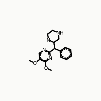 COc1cnc(C(c2ccccc2)C2CNCC[N]2)nc1OC